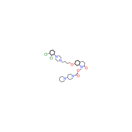 O=C1CCc2ccc(OCCCCN3CCN(c4cccc(Cl)c4Cl)CC3)cc2N1COC1OC1N1CCC(N2CCCCC2)CC1